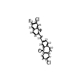 O=c1c2ccc(Cl)cc2ccc2ccc(C=Cc3ccc4cc(F)c(Cl)cc4n3)cc12